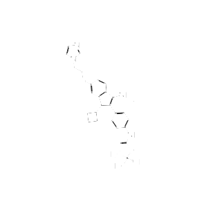 CC(C)(C)OC(=O)Nc1ccc(C2=C(N)c3ccc(OCCn4ccnc4)cc3C2C2CCC2)cc1